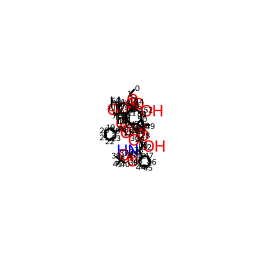 CCO[C@H]1C[C@H]2OC[C@@]2(OC(C)=O)[C@H]2[C@H](OC(=O)c3ccccc3)[C@]3(O)C[C@H](OC(=O)[C@H](O)C(NC(=O)OC(C)(C)C)c4ccccc4)C(C)=C([C@@H](O)C(=O)[C@]12C)C3(C)C